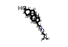 CN(C)CCO/N=C/CC1CC[C@H]2[C@@H]3CCC4CC(O)CC[C@]4(C)[C@@H]3CC[C@]12C